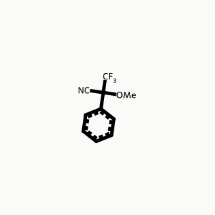 COC(C#N)(c1ccccc1)C(F)(F)F